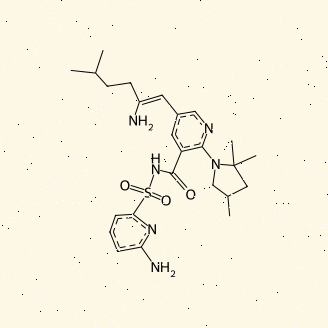 CC(C)CC/C(N)=C/c1cnc(N2CC(C)CC2(C)C)c(C(=O)NS(=O)(=O)c2cccc(N)n2)c1